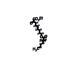 C=CCCC(F)(F)C(=O)OCCC/C=C/CCC(=O)C(=O)OCC